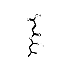 CC(C)CC(N)OC(=O)/C=C/C(=O)O